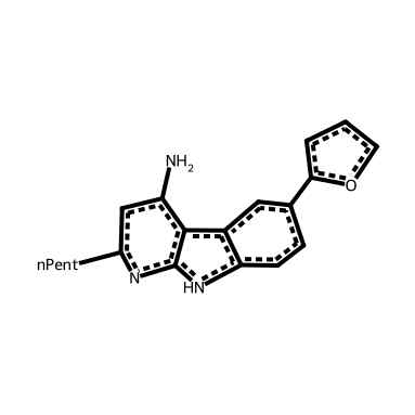 CCCCCc1cc(N)c2c(n1)[nH]c1ccc(-c3ccco3)cc12